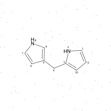 c1c[nH]c(Cc2cc[nH]c2)c1